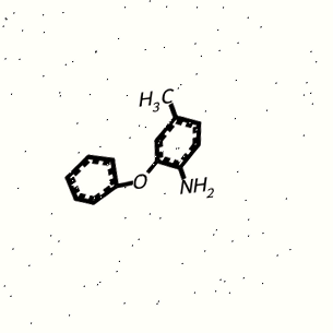 Cc1ccc(N)c(Oc2ccccc2)c1